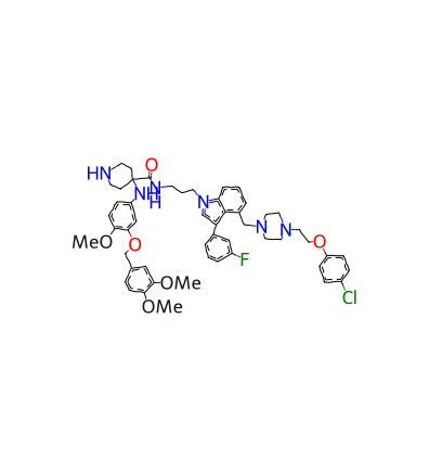 COc1ccc(COc2cc(NC3(C(=O)NCCCn4cc(-c5cccc(F)c5)c5c(CN6CCN(CCOc7ccc(Cl)cc7)CC6)cccc54)CCNCC3)ccc2OC)cc1OC